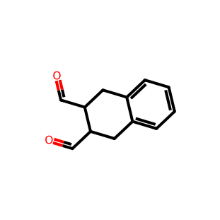 O=CC1Cc2ccccc2CC1C=O